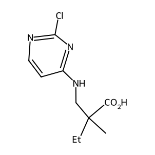 CCC(C)(CNc1ccnc(Cl)n1)C(=O)O